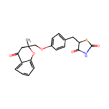 CC1(COc2ccc(CC3SC(=O)NC3=O)cc2)CC(=O)c2ccccc2O1